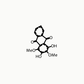 COc1c(O)c(OC)c2c(c1O)C(=O)c1ccccc1C2=O